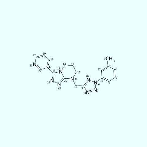 Cc1cccc(-n2nnc(CN3CCCn4c(-c5cccnc5)nnc43)n2)c1